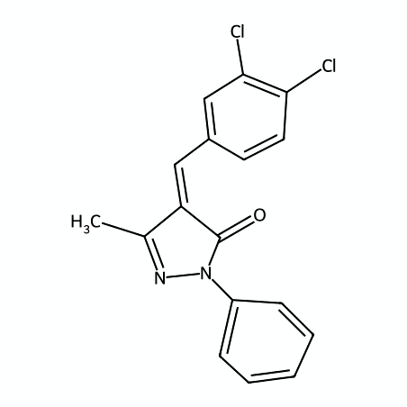 CC1=NN(c2ccccc2)C(=O)C1=Cc1ccc(Cl)c(Cl)c1